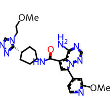 COCCn1cnnc1[C@H]1CC[C@H](NC(=O)c2cc(-c3ccnc(OC)c3)n3ncnc(N)c23)CC1